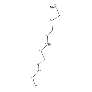 COCCCCNCCCCCC(C)=O